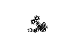 CC(C)(C)O[C@@H]1C[C@@H](C(=O)ON2C(=O)CCC2=O)N(C(=O)OCC2c3ccccc3-c3ccccc32)C1